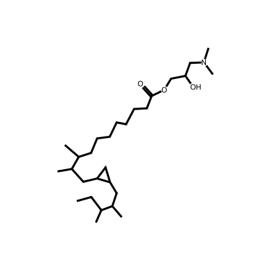 CCC(C)C(C)CC1CC1CC(C)C(C)CCCCCCCC(=O)OCC(O)CN(C)C